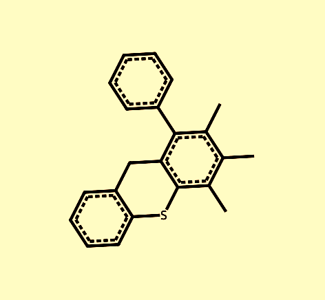 Cc1c(C)c2c(c(-c3ccccc3)c1C)Cc1ccccc1S2